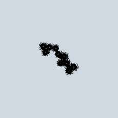 c1cc(-c2ccc3sc4c(-n5c6ccccc6c6cc(-n7c8ccccc8c8ccccc87)ccc65)nccc4c3c2)cc(-c2ccc3c4ccccc4c4ccccc4c3c2)c1